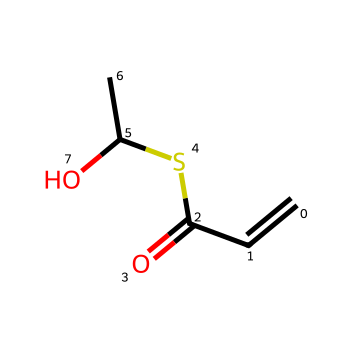 C=CC(=O)SC(C)O